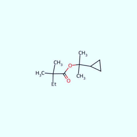 CCC(C)(C)C(=O)OC(C)(C)C1CC1